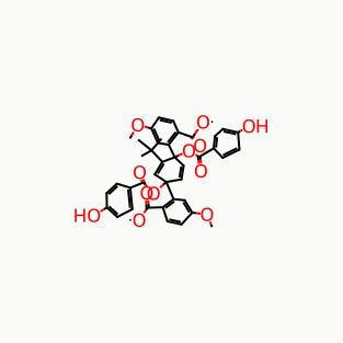 COc1ccc(C([O])=O)c(C2(OC(=O)c3ccc(O)cc3)C=CC(OC(=O)c3ccc(O)cc3)(c3cc(OC)ccc3C([O])=O)C(C(C)(C)C)=C2)c1